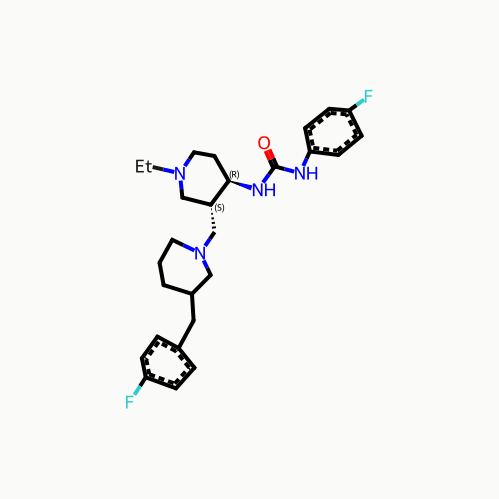 CCN1CC[C@@H](NC(=O)Nc2ccc(F)cc2)[C@H](CN2CCCC(Cc3ccc(F)cc3)C2)C1